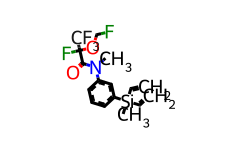 C=C[Si](C)(C=C)c1cccc(N(C)C(=O)C(F)(OCF)C(F)(F)F)c1